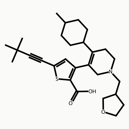 CC1CCC(C2=C(c3cc(C#CC(C)(C)C)sc3C(=O)O)CN(CC3CCOC3)CC2)CC1